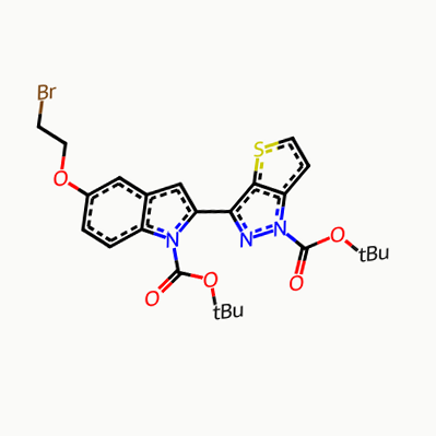 CC(C)(C)OC(=O)n1nc(-c2cc3cc(OCCBr)ccc3n2C(=O)OC(C)(C)C)c2sccc21